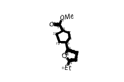 CCc1ccc(C2CCC(C(=O)OC)CC2)o1